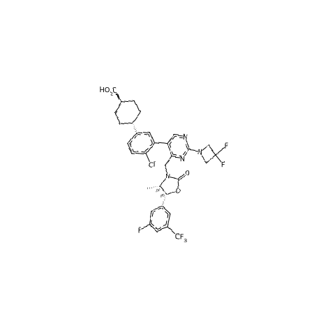 C[C@H]1[C@@H](c2cc(F)cc(C(F)(F)F)c2)OC(=O)N1Cc1nc(N2CC(F)(F)C2)ncc1-c1cc([C@H]2CC[C@H](C(=O)O)CC2)ccc1Cl